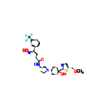 COCc1cnc(C2(O)CCC(N3CCC(NC(=O)CCC(=NO)c4cccc(C(F)(F)F)c4)C3)CC2)s1